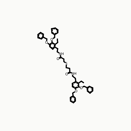 CCc1c(CCNC(=O)CCSCCC(=O)NCCc2ccc(OCc3ccccc3)c(OCc3ccccc3)c2CC)ccc(OCc2ccccc2)c1OCc1ccccc1